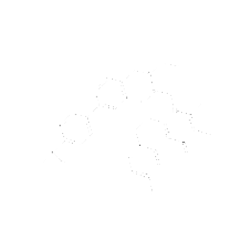 CCCN(Cc1ccc(-c2ccc(C(F)(F)F)cc2)cc1)C(=O)Cn1c(SCc2ccc(F)cc2)nc(=O)c(C)c1C